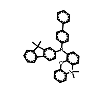 CC1(C)c2ccccc2-c2ccc(N(c3ccc(-c4ccccc4)cc3)c3cccc4c3Oc3ccccc3[Si]4(C)C)cc21